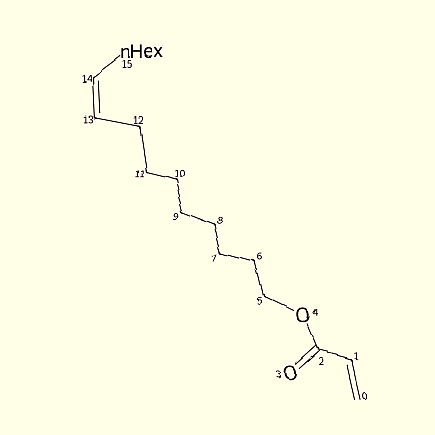 C=CC(=O)OCCCCCCCC/C=C\CCCCCC